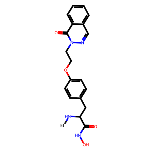 CCNC(Cc1ccc(OCCn2ncc3ccccc3c2=O)cc1)C(=O)NO